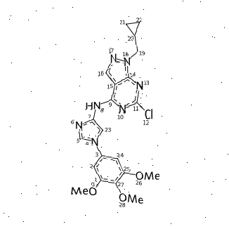 COc1cc(-n2cnc(Nc3nc(Cl)nc4c3cnn4CC3CC3)c2)cc(OC)c1OC